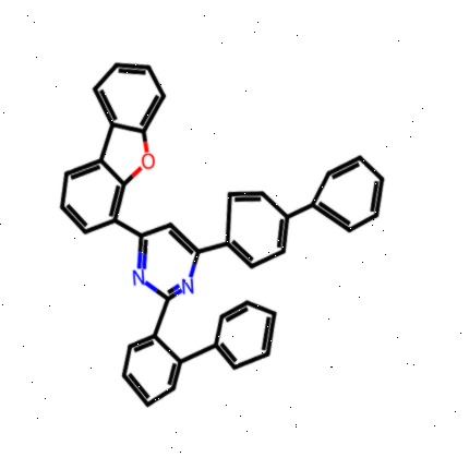 c1ccc(-c2ccc(-c3cc(-c4cccc5c4oc4ccccc45)nc(-c4ccccc4-c4ccccc4)n3)cc2)cc1